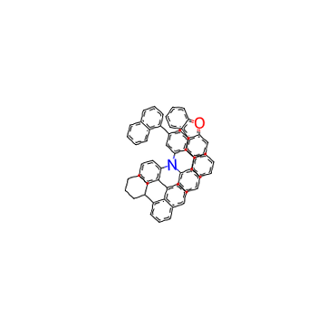 c1ccc(-c2ccc(-c3cccc4ccccc34)cc2N(c2ccccc2-c2ccc3oc4ccccc4c3c2)c2ccccc2-c2cccc3cccc(C4CCCCC4)c23)cc1